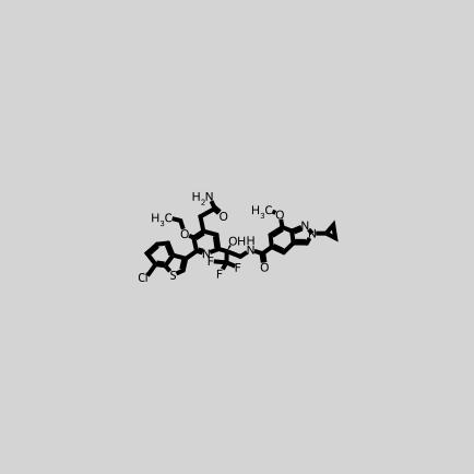 CCOc1c(CC(N)=O)cc([C@@](O)(CNC(=O)c2cc(OC)c3nn(C4CC4)cc3c2)C(F)(F)F)nc1-c1csc2c(Cl)cccc12